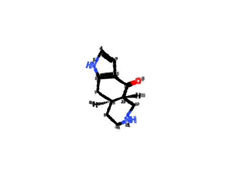 O=C1c2cc[nH]c2C[C@@H]2CCNC[C@@H]12